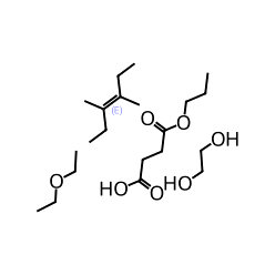 CC/C(C)=C(\C)CC.CCCOC(=O)CCC(=O)O.CCOCC.OCCO